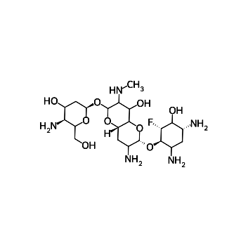 CNC1C(O[C@@H]2CC(O)[C@H](N)C(CO)O2)O[C@H]2CC(N)[C@@H](O[C@@H]3C(N)C[C@@H](N)C(O)[C@H]3F)OC2C1O